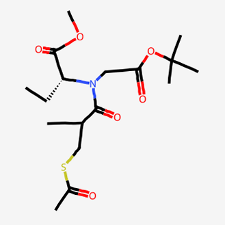 CC[C@H](C(=O)OC)N(CC(=O)OC(C)(C)C)C(=O)C(C)CSC(C)=O